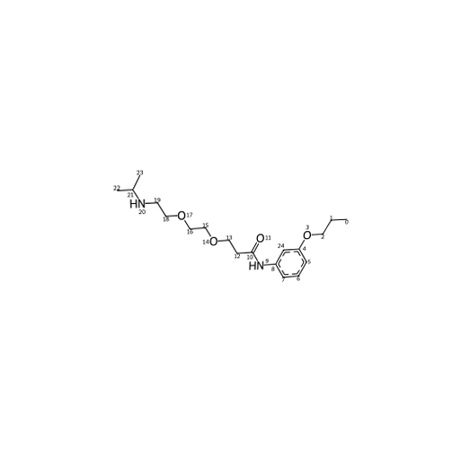 CCCOc1cccc(NC(=O)CCOCCOCCNC(C)C)c1